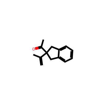 C=C(C)C1(C(C)=O)Cc2ccccc2C1